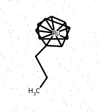 CCC[C]12[CH]3[CH]4[CH]5[CH]1[Ru]45321678[CH]2[CH]1[CH]6[CH]7[CH]28